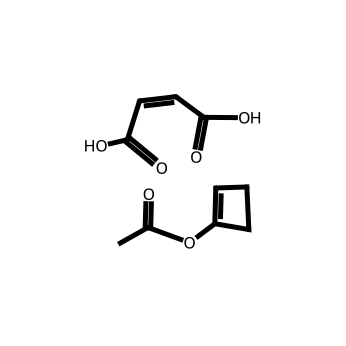 CC(=O)OC1=CCC1.O=C(O)/C=C\C(=O)O